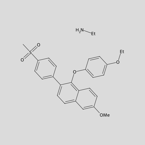 CCN.CCOc1ccc(Oc2c(-c3ccc(S(C)(=O)=O)cc3)ccc3cc(OC)ccc23)cc1